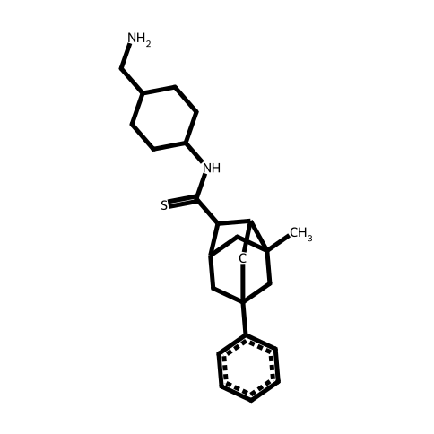 CC12CC3CC(c4ccccc4)(CC1C3C(=S)NC1CCC(CN)CC1)C2